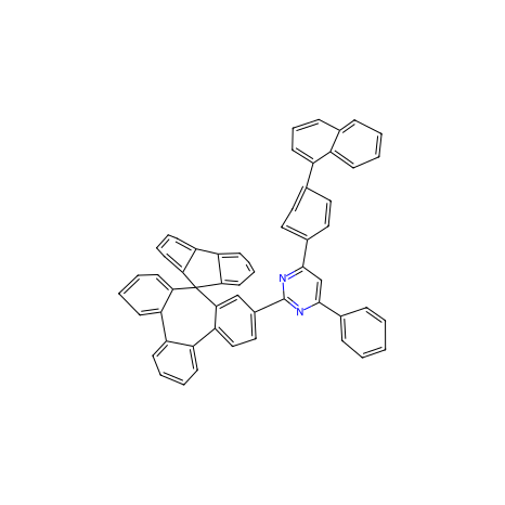 c1ccc(-c2cc(-c3ccc(-c4cccc5ccccc45)cc3)nc(-c3ccc4c(c3)C3(c5ccccc5-c5ccccc5-4)c4ccccc4-c4ccccc43)n2)cc1